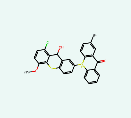 CCCOc1ccc(Cl)c2c1Sc1ccc([SH]3c4ccccc4C(=O)c4cc(C(C)C)ccc43)cc1C2O